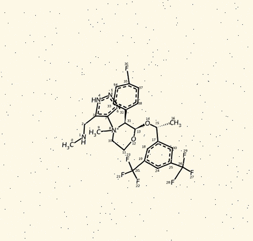 CNCc1[nH]nnc1[N+]1(C)CCO[C@H](O[C@H](C)c2cc(C(F)(F)F)cc(C(F)(F)F)c2)[C@@H]1c1ccc(F)cc1